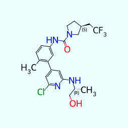 Cc1ccc(NC(=O)N2CC[C@@H](CC(F)(F)F)C2)cc1-c1cc(Cl)nc(N[C@H](C)CO)c1